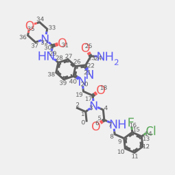 CC(C)N(CC(=O)NCc1cccc(Cl)c1F)C(=O)Cn1nc(C(N)=O)c2cc(NC(=O)N3CCOCC3)ccc21